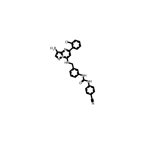 Bc1cnn2c(NCc3cccc(NC(=O)Nc4ccc(C#N)cc4)c3)cc(-c3ccccc3Cl)nc12